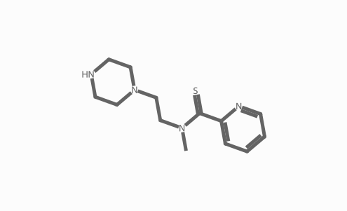 CN(CCN1CCNCC1)C(=S)c1ccccn1